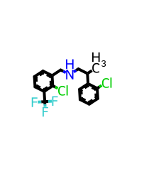 CC(CNCc1cccc(C(F)(F)F)c1Cl)c1ccccc1Cl